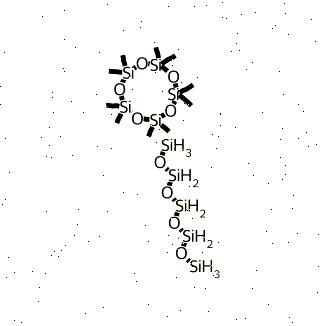 C[Si]1(C)O[Si](C)(C)O[Si](C)(C)O[Si](C)(C)O[Si](C)(C)O1.[SiH3]O[SiH2]O[SiH2]O[SiH2]O[SiH3]